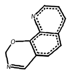 C1=NCOc2c1ccc1cccnc21